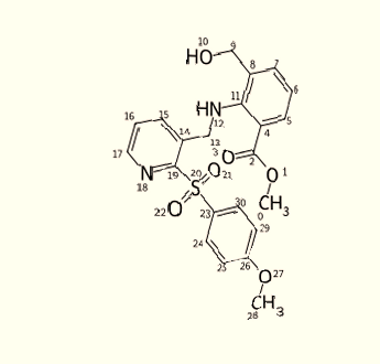 COC(=O)c1cccc(CO)c1NCc1cccnc1S(=O)(=O)c1ccc(OC)cc1